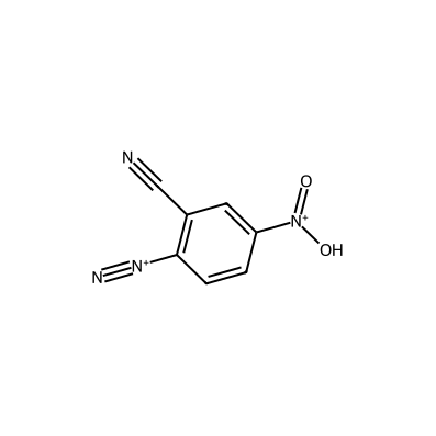 N#Cc1cc([N+](=O)O)ccc1[N+]#N